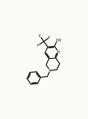 Oc1nc2c(cc1C(F)(F)F)CN(Cc1ccccc1)CC2